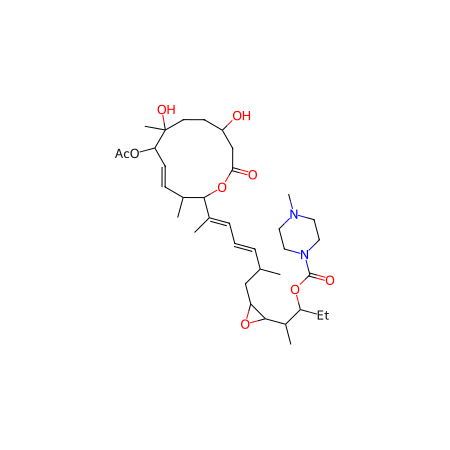 CCC(OC(=O)N1CCN(C)CC1)C(C)C1OC1CC(C)/C=C/C=C(\C)C1OC(=O)CC(O)CCC(C)(O)C(OC(C)=O)/C=C/C1C